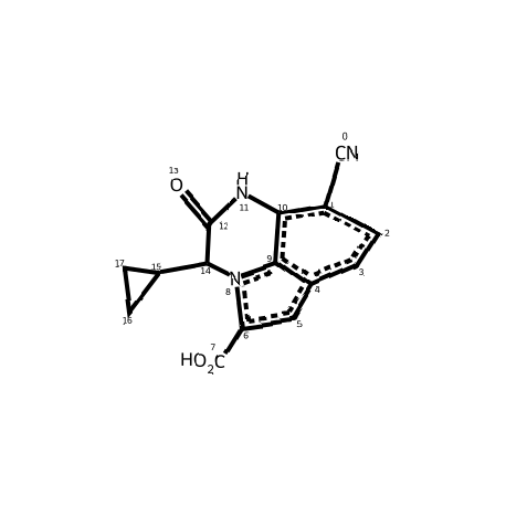 N#Cc1ccc2cc(C(=O)O)n3c2c1NC(=O)C3C1CC1